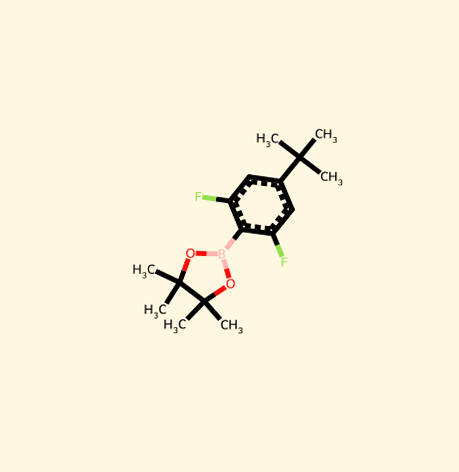 CC(C)(C)c1cc(F)c(B2OC(C)(C)C(C)(C)O2)c(F)c1